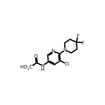 O=C(O)C(=O)Nc1cnc(N2CCC(F)(F)CC2)c(Cl)c1